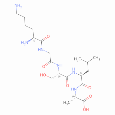 CC(C)C[C@H](NC(=O)[C@H](CO)NC(=O)CNC(=O)[C@@H](N)CCCCN)C(=O)N[C@@H](C)C(=O)O